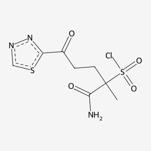 CC(CCC(=O)c1nncs1)(C(N)=O)S(=O)(=O)Cl